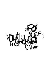 COc1cc(C(O)NC2CCN(C)CC2)c(Cl)cc1Nc1ncc(C(F)(F)F)c(Oc2ccc(C)c3c2C(=O)CC3)n1